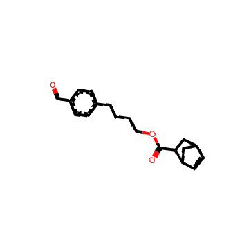 O=Cc1ccc(CCCCOC(=O)C2CC3C=CC2C3)cc1